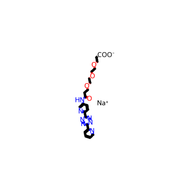 O=C([O-])CCOCCOCCOCCC(=O)Nc1ccc(-c2nnc(-c3ccccn3)nn2)nc1.[Na+]